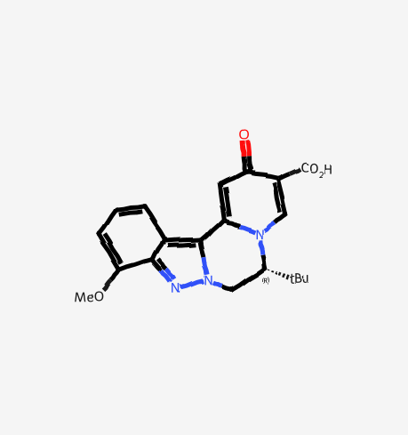 COc1cccc2c3n(nc12)C[C@@H](C(C)(C)C)n1cc(C(=O)O)c(=O)cc1-3